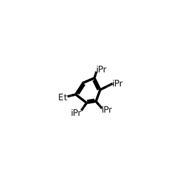 CCc1cc(C(C)C)c(C(C)C)c(C(C)C)c1C(C)C